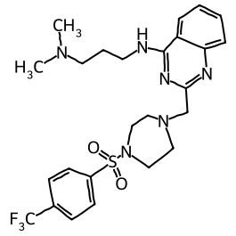 CN(C)CCCNc1nc(CN2CCN(S(=O)(=O)c3ccc(C(F)(F)F)cc3)CC2)nc2ccccc12